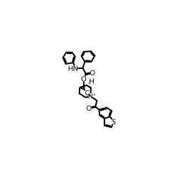 O=C(C[N+]12CCC(CC1)[C@@H](OC(=O)C(Nc1ccccc1)c1ccccc1)C2)c1ccc2sccc2c1